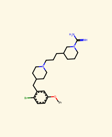 CC(C)Oc1ccc(Br)c(CC2CCN(CCCC3CCCN(C(=N)N)C3)CC2)c1